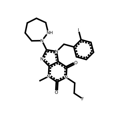 Cn1c(=O)n(CCF)c(=O)c2c1nc(N1CCCCCN1)n2Cc1ccccc1I